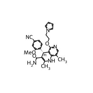 COc1cc(C#N)ccc1[C@H]1C(C(N)=O)=C(C)Nc2c(C)cnc(OCCn3cccc3)c21